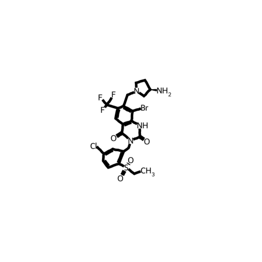 CCS(=O)(=O)c1ccc(Cl)cc1Cn1c(=O)[nH]c2c(Br)c(CN3CC[C@@H](N)C3)c(C(F)(F)F)cc2c1=O